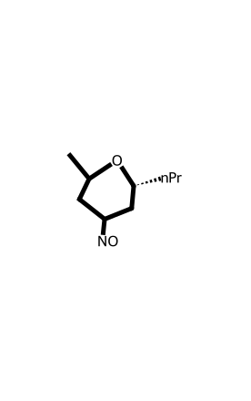 CCC[C@@H]1CC(N=O)CC(C)O1